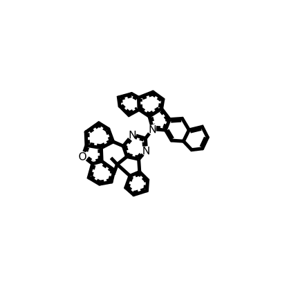 CC1(C)c2ccccc2-c2nc(-n3c4c(c5ccc6ccccc6c53)=CC3=CC=CCC3C=4)nc(-c3cccc4oc5ccccc5c34)c21